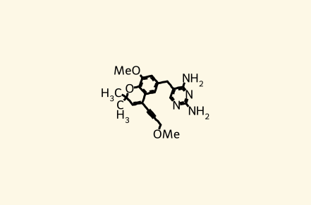 COCC#CC1=CC(C)(C)Oc2c(OC)cc(Cc3cnc(N)nc3N)cc21